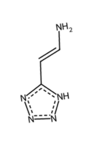 NC=Cc1nnn[nH]1